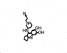 N#CCCN1CCC[C@H](Nc2c3c(nc4cc(O)c(O)cc24)CCC3)C1